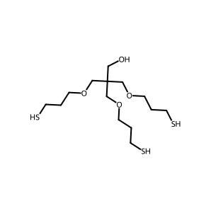 OCC(COCCCS)(COCCCS)COCCCS